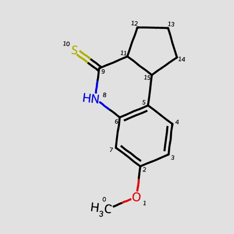 COc1ccc2c(c1)NC(=S)C1CCCC21